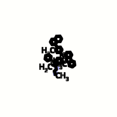 C=c1/c(=C\C=C/C)c2ccc(N(c3ccc(-c4cccc5c4CCC=C5)c(C)c3)c3cccc4c3C(C)(C)c3ccccc3-4)cc2n1-c1ccccc1